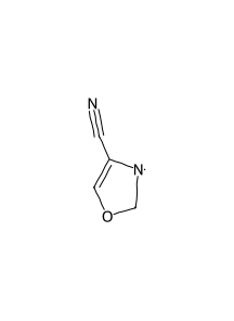 N#CC1=COC[N]1